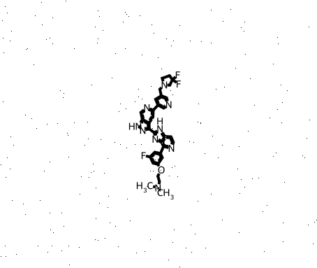 CN(C)CCOc1cc(F)cc(-c2nccc3[nH]c(-c4n[nH]c5cnc(-c6cncc(CN7CCC(F)(F)C7)c6)cc45)nc23)c1